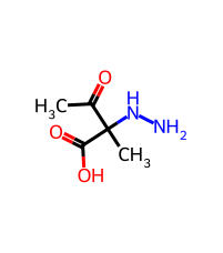 CC(=O)C(C)(NN)C(=O)O